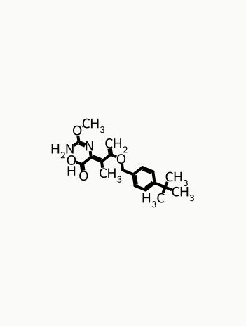 C=C(OCc1ccc(C(C)(C)C)cc1)/C(C)=C(\N=C(/N)OC)C(=O)O